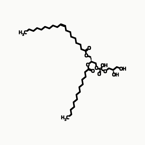 CCCCCCCCC/C=C\CCCCCCCC(=O)OC[C@H](COP(=O)(O)OC[C@@H](O)CO)OC(=O)CCCCCCCCCCCCC